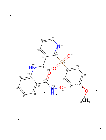 COc1ccc(S(=O)(=O)c2ncccc2CNc2ccccc2C(=O)NO)cc1